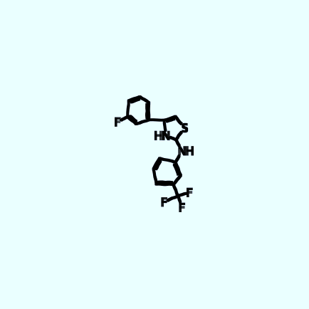 Fc1cccc(C2=CSC(Nc3cccc(C(F)(F)F)c3)N2)c1